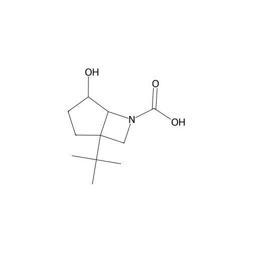 CC(C)(C)C12CCC(O)C1N(C(=O)O)C2